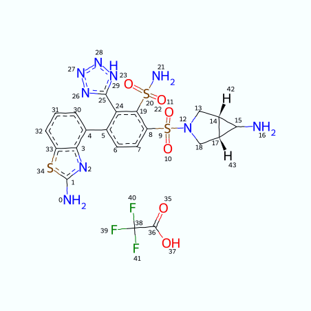 Nc1nc2c(-c3ccc(S(=O)(=O)N4C[C@@H]5C(N)[C@@H]5C4)c(S(N)(=O)=O)c3-c3nnn[nH]3)cccc2s1.O=C(O)C(F)(F)F